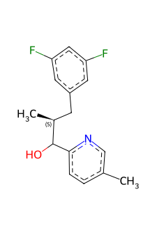 Cc1ccc(C(O)[C@@H](C)Cc2cc(F)cc(F)c2)nc1